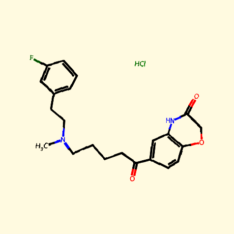 CN(CCCCC(=O)c1ccc2c(c1)NC(=O)CO2)CCc1cccc(F)c1.Cl